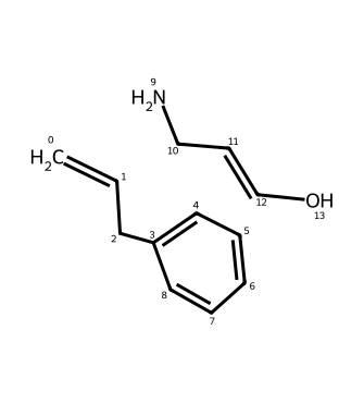 C=CCc1ccccc1.NCC=CO